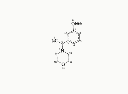 COc1cccc(C(C#N)N2CCOCC2)c1